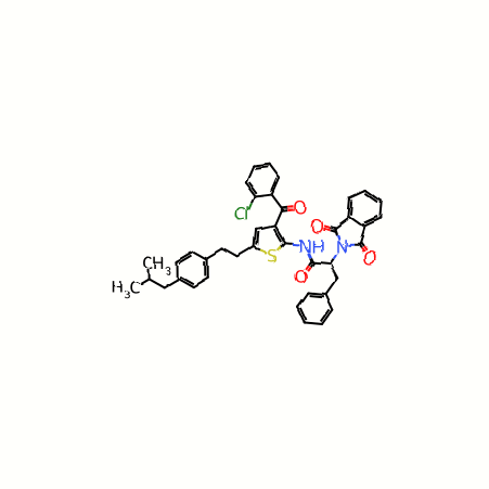 CC(C)Cc1ccc(CCc2cc(C(=O)c3ccccc3Cl)c(NC(=O)[C@H](Cc3ccccc3)N3C(=O)c4ccccc4C3=O)s2)cc1